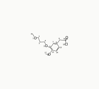 COCCCOc1cc(CC(=O)Cl)ccc1OC